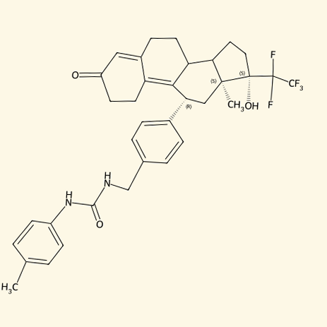 Cc1ccc(NC(=O)NCc2ccc([C@H]3C[C@@]4(C)C(CC[C@@]4(O)C(F)(F)C(F)(F)F)C4CCC5=CC(=O)CCC5=C43)cc2)cc1